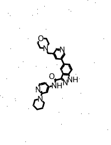 O=C(Nc1ccnc(N2CCCCC2)c1)c1n[nH]c2ccc(-c3cncc(CN4CCOCC4)c3)cc12